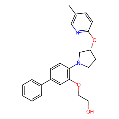 Cc1ccc(O[C@@H]2CCN(c3ccc(-c4ccccc4)cc3OCCO)C2)nc1